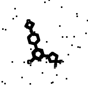 FC1(F)CCN(c2cc(C3CCN(C4COC4)CC3)cc(Cl)n2)C1